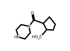 O=C(O)C1CCCC1C(=O)N1CCNCC1